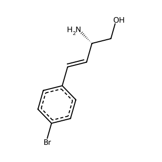 N[C@@H](C=Cc1ccc(Br)cc1)CO